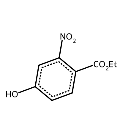 CCOC(=O)c1ccc(O)cc1[N+](=O)[O-]